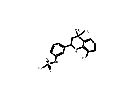 CC1(C)CC(c2cccc(NS(C)(=O)=O)c2)Nc2c(C(F)(F)F)cccc21